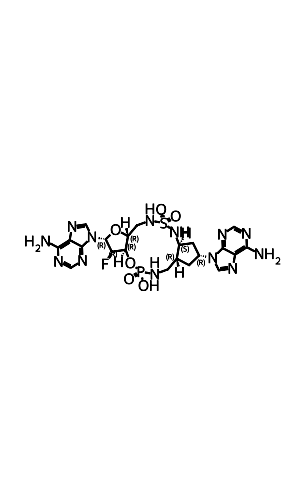 Nc1ncnc2c1ncn2[C@@H]1C[C@@H]2CNP(=O)(O)O[C@H]3[C@@H](F)[C@H](n4cnc5c(N)ncnc54)O[C@@H]3CNS(=O)(=O)N[C@H]2C1